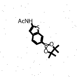 CC(=O)Nc1cc2ccc(B3OC(C)(C)C(C)(C)O3)cc2s1